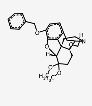 COC1(OC)CC[C@]23OCCN4CC[C@@]25c2c(ccc(OCc6ccccc6)c2O[C@@H]15)C[C@@H]43